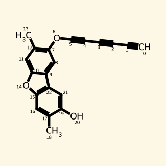 C#CC#CC#COc1cc2c(cc1C)oc1cc(C)c(O)cc12